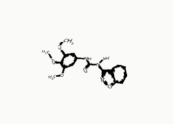 COc1cc(NC(=O)N(S)c2noc3ccccc23)cc(OC)c1OC